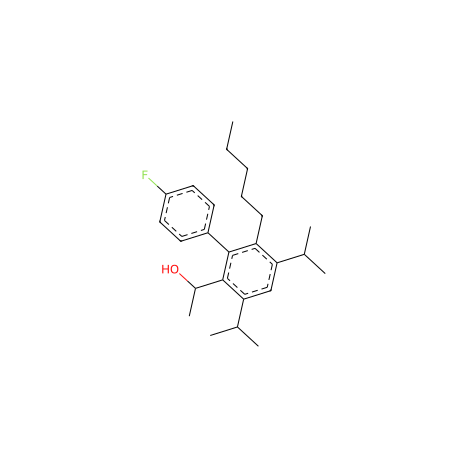 CCCCCc1c(C(C)C)cc(C(C)C)c(C(C)O)c1-c1ccc(F)cc1